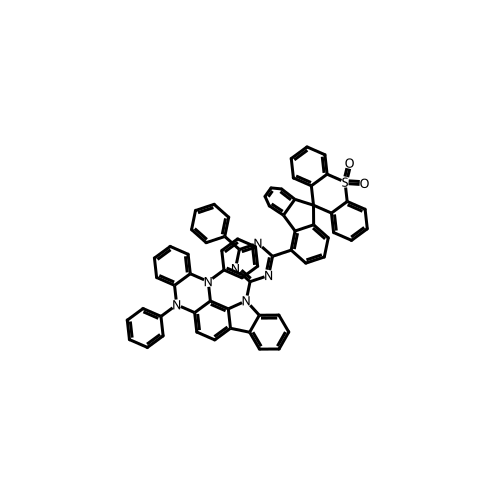 O=S1(=O)c2ccccc2C2(c3ccccc3-c3c(-c4nc(-c5ccccc5)nc(-n5c6ccccc6c6ccc7c(c65)N(c5ccccc5)c5ccccc5N7c5ccccc5)n4)cccc32)c2ccccc21